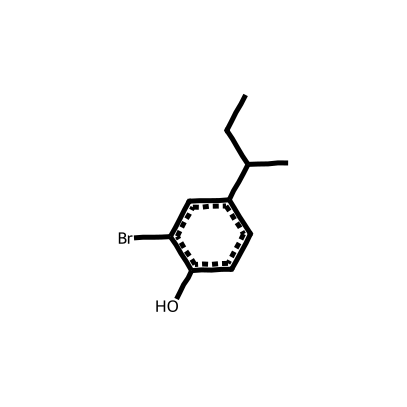 CCC(C)c1ccc(O)c(Br)c1